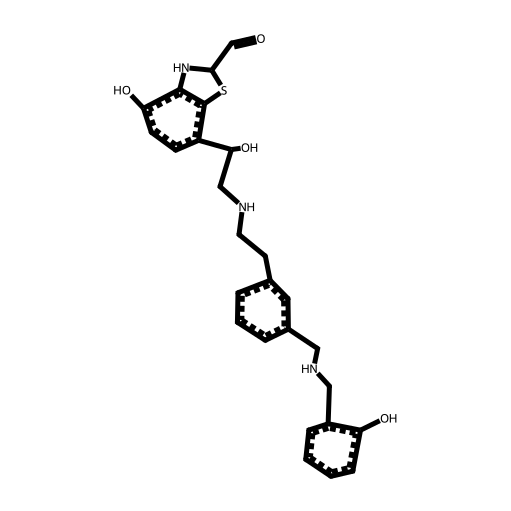 O=CC1Nc2c(O)ccc(C(O)CNCCc3cccc(CNCc4ccccc4O)c3)c2S1